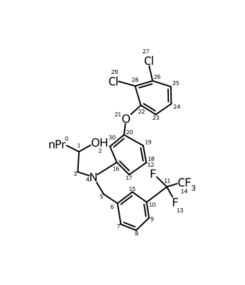 CCCC(O)CN(Cc1cccc(C(F)(F)C(F)(F)F)c1)c1cccc(Oc2cccc(Cl)c2Cl)c1